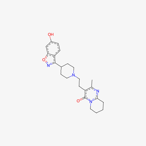 Cc1nc2n(c(=O)c1CCN1CCC(c3noc4cc(O)ccc34)CC1)CCCC2